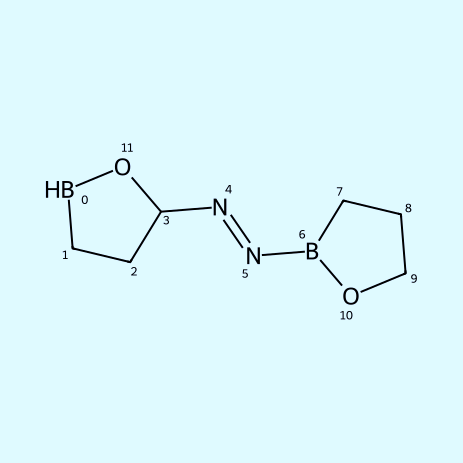 B1CCC(N=NB2CCCO2)O1